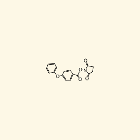 O=C(ON1C(=O)CCC1=O)c1ccc(Oc2ccccc2)cc1